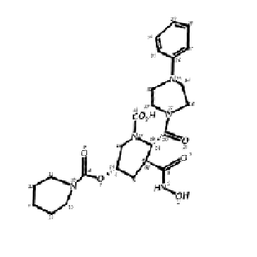 O=C(NO)[C@H]1C[C@H](OC(=O)N2CCCCC2)CN(C(=O)O)[C@@H]1C(=O)N1CCN(c2ccccc2)CC1